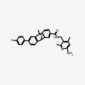 Cc1cc(N)nc(C)c1CNC(=O)C1=CC2C3OC(C)(c4cc(-c5ccc(F)cc5)ccc43)C2C=C1